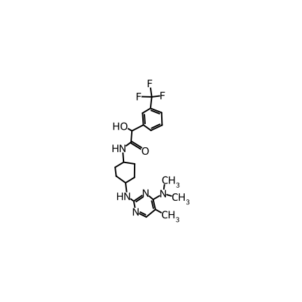 Cc1cnc(NC2CCC(NC(=O)C(O)c3cccc(C(F)(F)F)c3)CC2)nc1N(C)C